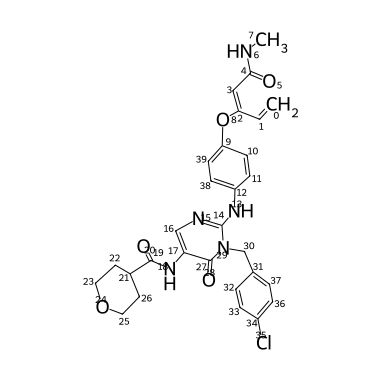 C=C/C(=C\C(=O)NC)Oc1ccc(Nc2ncc(NC(=O)C3CCOCC3)c(=O)n2Cc2ccc(Cl)cc2)cc1